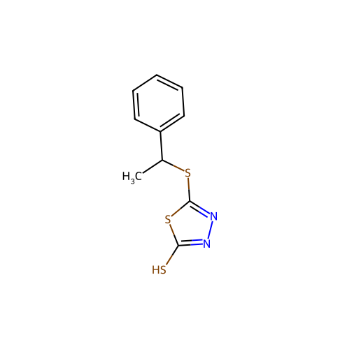 CC(Sc1nnc(S)s1)c1ccccc1